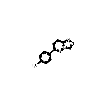 FC(F)(F)c1ccc(-c2ccc3nncn3n2)cc1